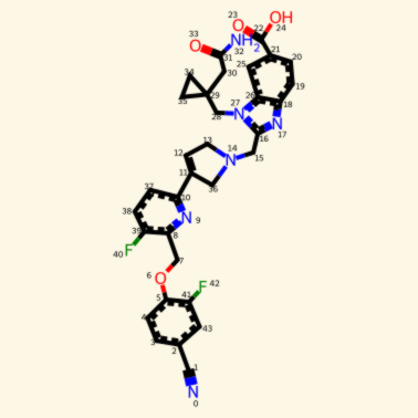 N#Cc1ccc(OCc2nc(C3=CCN(Cc4nc5ccc(C(=O)O)cc5n4CC4(CC(N)=O)CC4)C3)ccc2F)c(F)c1